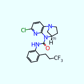 O=C(Nc1ccccc1CCC(F)(F)F)N1c2nc(Cl)ccc2N2CC[C@H]1C2